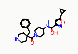 O=C(N1CCC(NC(O)c2cc(C3CC3)on2)CC1)C1(Cc2ccccc2)CCNCC1